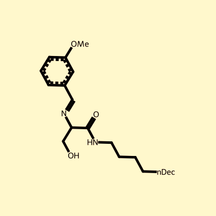 CCCCCCCCCCCCCCNC(=O)C(CO)N=Cc1cccc(OC)c1